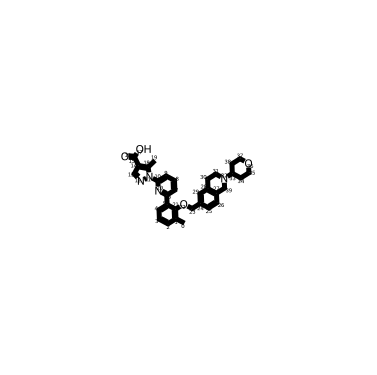 Cc1cccc(-c2cccc(-n3ncc(C(=O)O)c3C)n2)c1OCc1ccc2c(c1)CCN(C1CCOCC1)C2